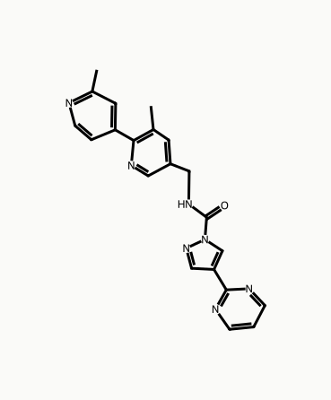 Cc1cc(-c2ncc(CNC(=O)n3cc(-c4ncccn4)cn3)cc2C)ccn1